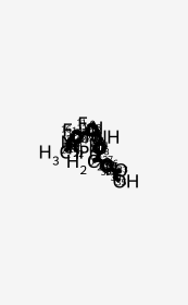 C=C(c1ccc(Nc2ncc(F)c(-c3cc(F)c4nc(C)n(C(C)C)c4c3)n2)nc1)C1CCN(C(=O)CO)CC1